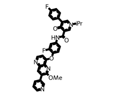 COc1nc2c(Oc3ccc(NC(=O)c4cn(C(C)C)cc(-c5ccc(F)cc5)c4=O)cc3F)ccnc2cc1-c1cccnc1